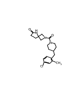 Cc1cc(Cl)ccc1CC1CCN(C(=O)N2CC3(CCC(=O)N3)C2)CC1